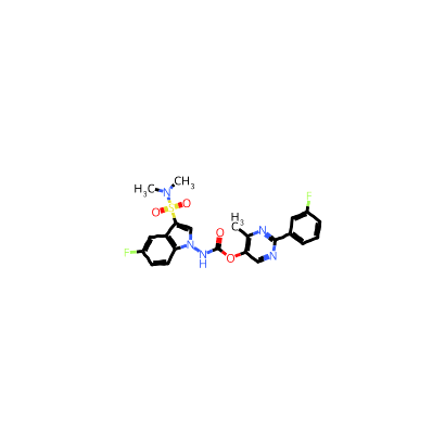 Cc1nc(-c2cccc(F)c2)ncc1OC(=O)Nn1cc(S(=O)(=O)N(C)C)c2cc(F)ccc21